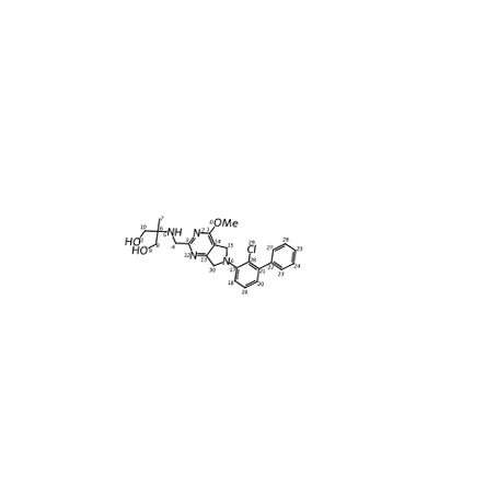 COc1nc(CNC(C)(CO)CO)nc2c1CN(c1cccc(-c3ccccc3)c1Cl)C2